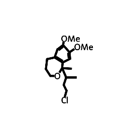 COc1cc2c(cc1OC)C(C)(C(C)CCCl)OCCC2